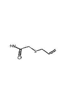 C=CCSCC([NH])=O